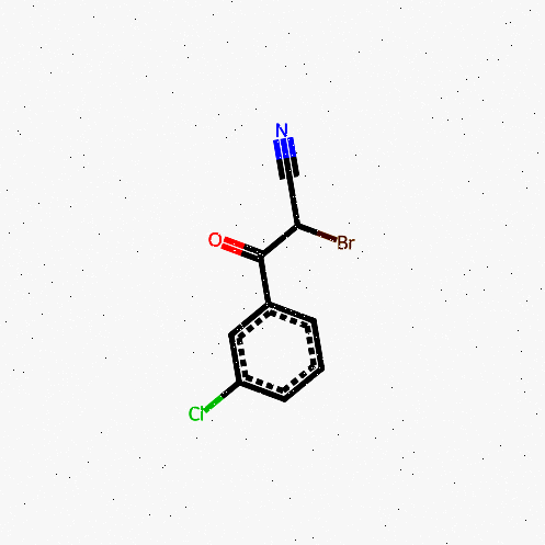 N#CC(Br)C(=O)c1cccc(Cl)c1